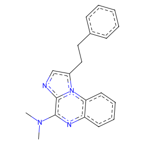 CN(C)c1nc2ccccc2n2c(CCc3ccccc3)cnc12